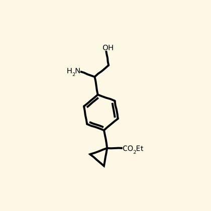 CCOC(=O)C1(c2ccc(C(N)CO)cc2)CC1